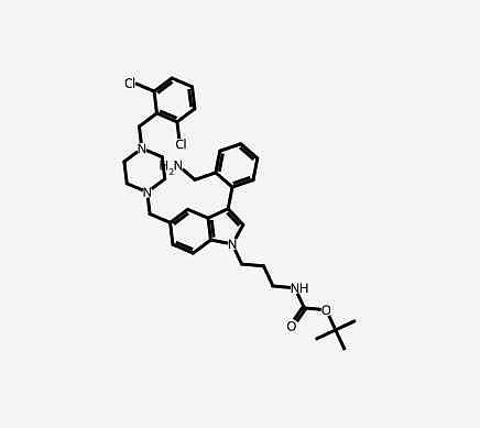 CC(C)(C)OC(=O)NCCCn1cc(-c2ccccc2CN)c2cc(CN3CCN(Cc4c(Cl)cccc4Cl)CC3)ccc21